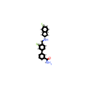 NC(=O)c1cccc(-c2ccc(CN[C@H]3Cc4ccc(F)cc4C3)c(F)c2)c1